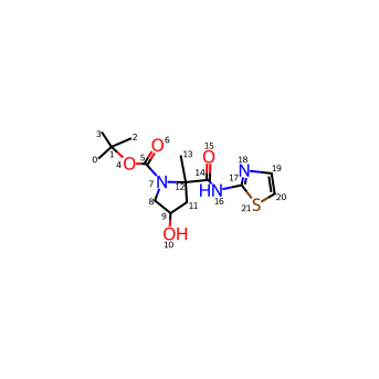 CC(C)(C)OC(=O)N1CC(O)CC1(C)C(=O)Nc1nccs1